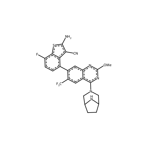 COc1nc(N2CC3CCC(C2)N3)c2cc(C(F)(F)F)c(-c3ccc(F)c4sc(N)c(C#N)c34)cc2n1